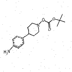 CC(C)(C)OC(=O)ON1CCC(c2ccc(N)cc2)CC1